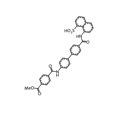 COC(=O)c1ccc(C(=O)Nc2ccc(-c3ccc(C(=O)Nc4cccc5cccc(S(=O)(=O)O)c45)cc3)cc2)cc1